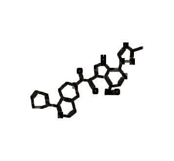 COc1cnc(-n2cnc(C)n2)c2[nH]cc(C(=O)C(=O)N3CCc4c(ccnc4C4=CC=CCC4)C3)c12